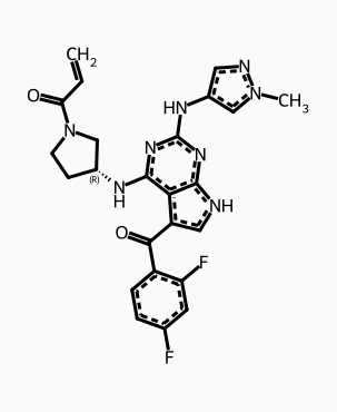 C=CC(=O)N1CC[C@@H](Nc2nc(Nc3cnn(C)c3)nc3[nH]cc(C(=O)c4ccc(F)cc4F)c23)C1